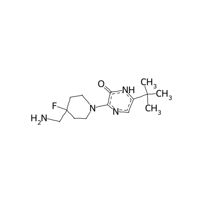 CC(C)(C)c1cnc(N2CCC(F)(CN)CC2)c(=O)[nH]1